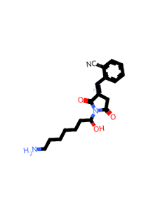 N#Cc1ccccc1/C=C1\CC(=O)N(C(O)CCCCCCN)C1=O